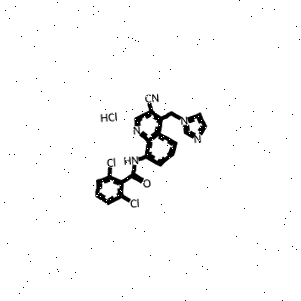 Cl.N#Cc1cnc2c(NC(=O)c3c(Cl)cccc3Cl)cccc2c1Cn1ccnc1